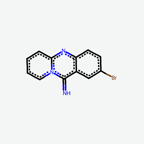 N=c1c2cc(Br)ccc2nc2ccccn12